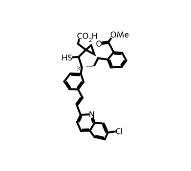 COC(=O)c1ccccc1CC[C@H](c1cccc(C=Cc2ccc3ccc(Cl)cc3n2)c1)C(S)C1(CC(=O)O)CC1